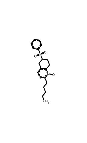 CCCCCc1ncc2c([n+]1[O-])CCC(S(=O)(=O)c1ccccc1)C2